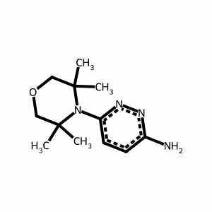 CC1(C)COCC(C)(C)N1c1ccc(N)nn1